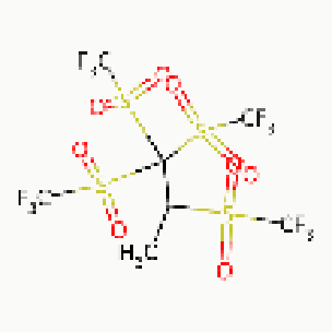 CC(C(S(=O)(=O)C(F)(F)F)(S(=O)(=O)C(F)(F)F)S(=O)(=O)C(F)(F)F)S(=O)(=O)C(F)(F)F